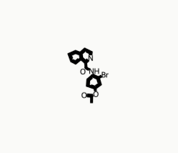 CC(=O)Oc1ccc(NC(=O)c2nccc3ccccc23)c(Br)c1